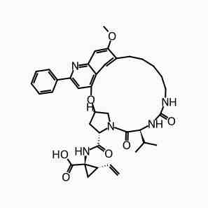 C=C[C@@H]1C[C@]1(NC(=O)[C@@H]1C[C@@H]2CN1C(=O)[C@H](C(C)C)NC(=O)NCCCCCc1cc3c(cc(-c4ccccc4)nc3cc1OC)O2)C(=O)O